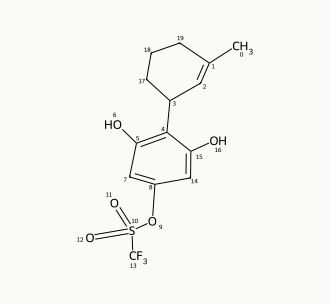 CC1=CC(c2c(O)cc(OS(=O)(=O)C(F)(F)F)cc2O)CCC1